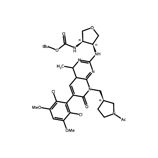 COc1cc(OC)c(Cl)c(C2=CC3C(=NC(N[C@@H]4COC[C@@H]4NC(=O)OC(C)(C)C)=NC3C)N(C[C@@H]3CCN(C(C)=O)C3)C2=O)c1Cl